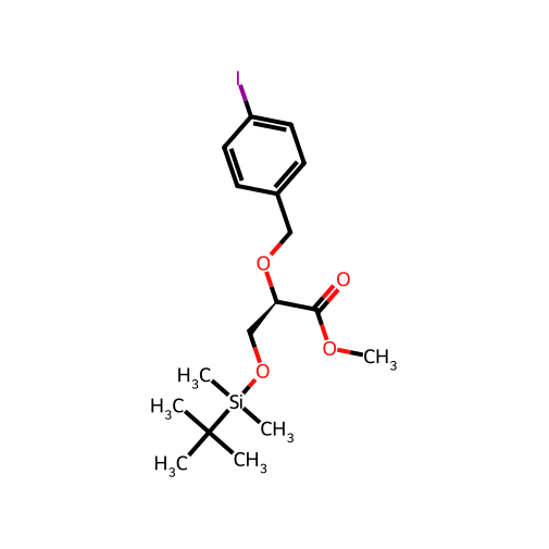 COC(=O)[C@@H](CO[Si](C)(C)C(C)(C)C)OCc1ccc(I)cc1